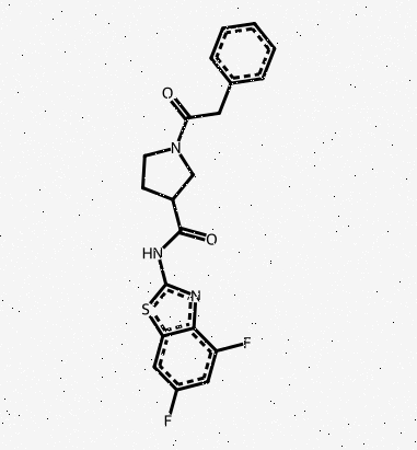 O=C(Nc1nc2c(F)cc(F)cc2s1)C1CCN(C(=O)Cc2ccccc2)C1